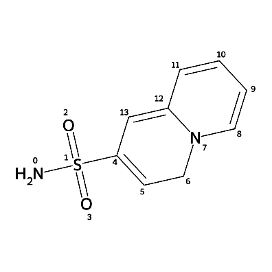 NS(=O)(=O)C1=CCN2C=CC=CC2=C1